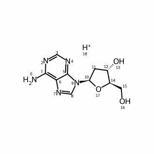 Nc1ncnc2c1ncn2[C@H]1C[C@H](O)[C@@H](CO)O1.[H+]